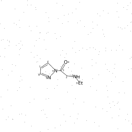 CCNCC(=O)n1cccn1